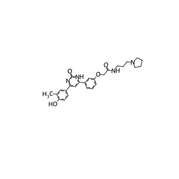 Cc1cc(-c2cc(-c3cccc(OCC(=O)NCCCN4CCCC4)c3)[nH]c(=O)n2)ccc1O